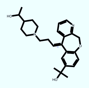 CC(O)C1CCN(CC/C=C2/c3cc(C(C)(C)O)ccc3OCc3ncccc32)CC1